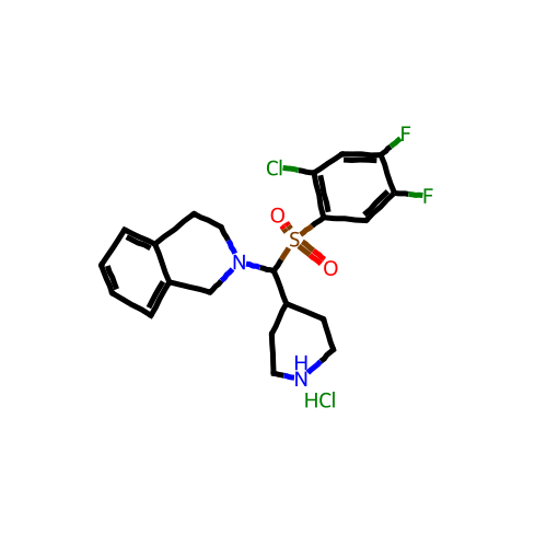 Cl.O=S(=O)(c1cc(F)c(F)cc1Cl)C(C1CCNCC1)N1CCc2ccccc2C1